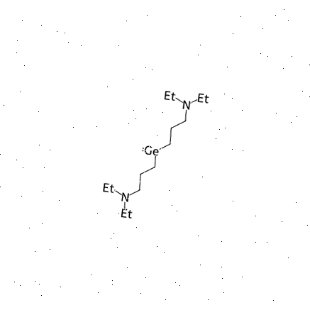 CCN(CC)CC[CH2][Ge][CH2]CCN(CC)CC